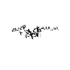 CCOC(=O)CCc1ccc(OC[C@H](O)CNC(C)(C)CCCc2ccccc2OC)c(C#N)n1